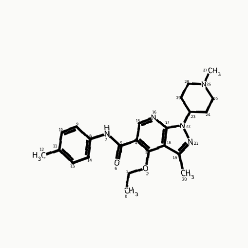 CCOc1c(C(=O)Nc2ccc(C)cc2)cnc2c1c(C)nn2C1CCN(C)CC1